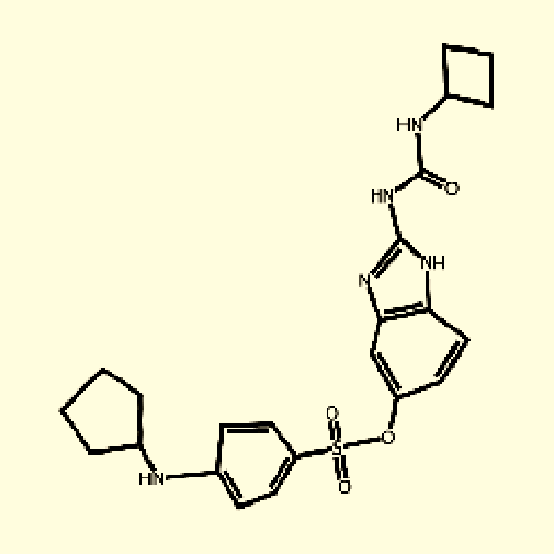 O=C(Nc1nc2cc(OS(=O)(=O)c3ccc(NC4CCCC4)cc3)ccc2[nH]1)NC1CCC1